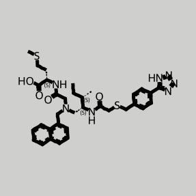 CC[C@H](C)[C@@H](CN(CC(=O)N[C@@H](CCSC)C(=O)O)Cc1cccc2ccccc12)NC(=O)CSCc1ccc(-c2nnn[nH]2)cc1